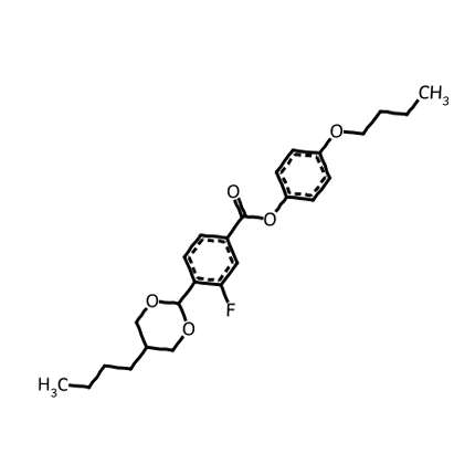 CCCCOc1ccc(OC(=O)c2ccc(C3OCC(CCCC)CO3)c(F)c2)cc1